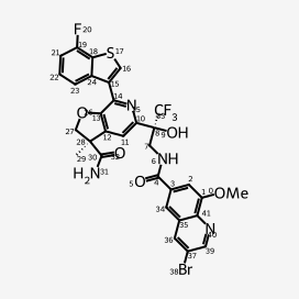 COc1cc(C(=O)NC[C@](O)(c2cc3c(c(-c4csc5c(F)cccc45)n2)OC[C@]3(C)C(N)=O)C(F)(F)F)cc2cc(Br)cnc12